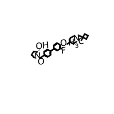 CC1(CN2CCC(COc3ccc(-c4ccc(C(=O)N5CCC[C@@H]5CO)cc4)cc3F)CC2)CCC1